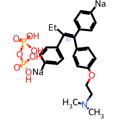 CC/C(=C(\c1cc[c]([Na])cc1)c1ccc(OCCN(C)C)cc1)c1cc[c]([Na])cc1.O=P(O)(O)OP(=O)(O)O